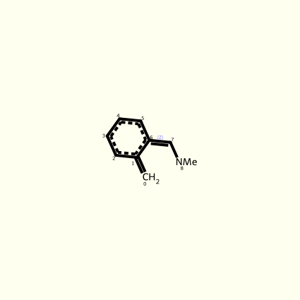 C=c1cccc/c1=C/NC